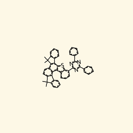 CC1(C)c2ccccc2-c2c1ccc1c3c(c4sc5c(-c6nc(-c7ccccc7)nc(-c7ccccc7)n6)cccc5c4c21)-c1ccccc1C3(C)C